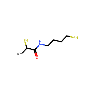 CCCC(S)C(=O)NCCCCS